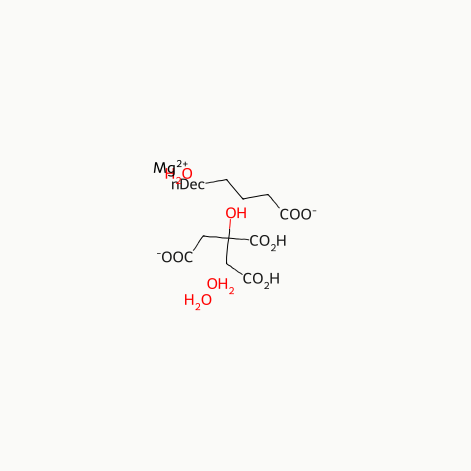 CCCCCCCCCCCCCC(=O)[O-].O.O.O.O=C([O-])CC(O)(CC(=O)O)C(=O)O.[Mg+2]